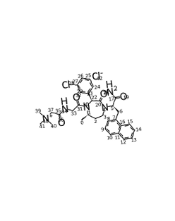 C[C@@H]1CCN([C@H](Cc2cccc3ccccc23)C(N)=O)C(=O)[C@H](c2cccc(Cl)c2)N1C(=O)CNC(=O)C[N+](C)(C)C.[Cl-]